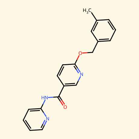 Cc1cccc(COc2ccc(C(=O)Nc3ccccn3)cn2)c1